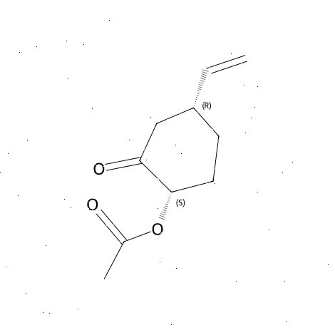 C=C[C@@H]1CC[C@H](OC(C)=O)C(=O)C1